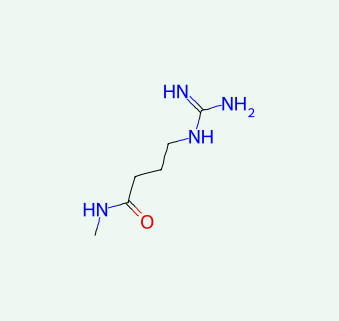 CNC(=O)CCCNC(=N)N